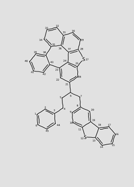 c1ccc(CCC(Cc2ccc3sc4ccccc4c3c2)c2cc3c4c(c2)sc2ccc5cccc(c5c24)-c2ccccc2-3)cc1